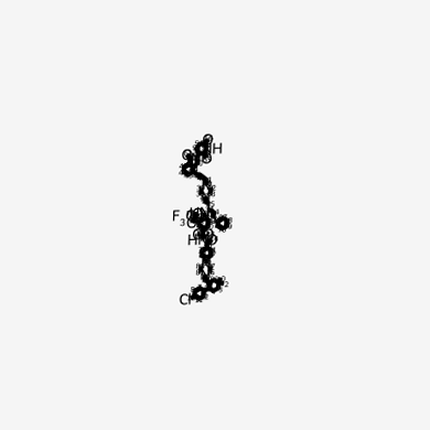 CC1(C)CCC(c2ccc(Cl)cc2)=C(CN2CCN(c3ccc(C(=O)NS(=O)(=O)c4ccc(N[C@H](CCN5CCN(CC#Cc6cccc7c6CN(C6CCC(=O)NC6=O)C7=O)CC5)CSc5ccccc5)c(S(=O)(=O)C(F)(F)F)c4)cc3)CC2)C1